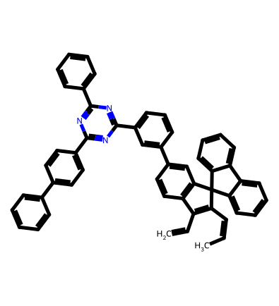 C=CC1=C(/C=C\C)C2(c3cc(-c4cccc(-c5nc(-c6ccccc6)nc(-c6ccc(-c7ccccc7)cc6)n5)c4)ccc31)c1ccccc1-c1ccccc12